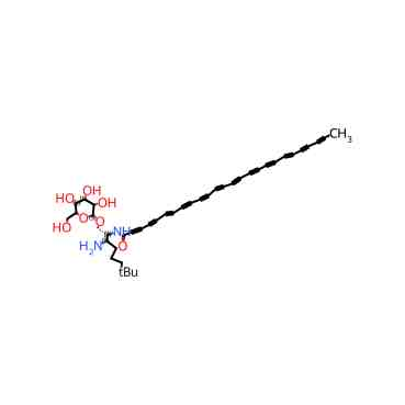 CC#CC#CC#CC#CC#CC#CC#CC#CC#CC#CC#CC#CC(=O)N[C@@H](CO[C@H]1OC(CO)[C@H](O)[C@H](O)C1O)[C@H](N)CCCC(C)(C)C